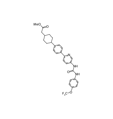 COC(=O)CC1CCC(c2ccc(-c3ccc(NC(=O)Nc4ccc(OC(F)(F)F)cc4)cn3)cc2)CC1